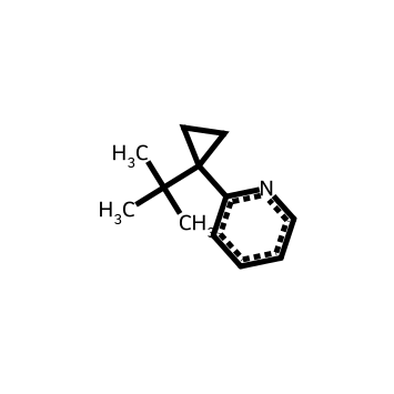 CC(C)(C)C1(c2ccccn2)CC1